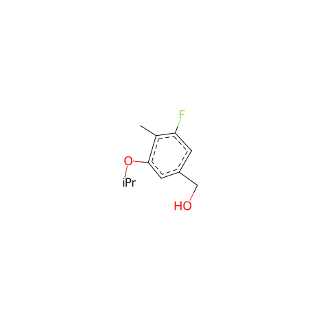 Cc1c(F)cc(CO)cc1OC(C)C